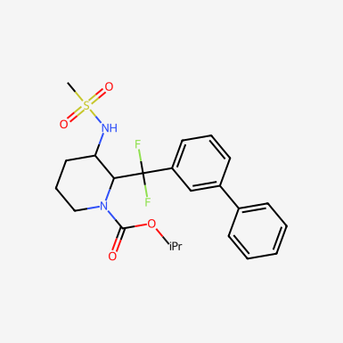 CC(C)OC(=O)N1CCCC(NS(C)(=O)=O)C1C(F)(F)c1cccc(-c2ccccc2)c1